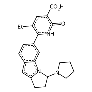 CCc1cc(C(=O)O)c(=O)[nH]c1-c1ccc2cc3n(c2c1)C(N1CCCC1)CC3